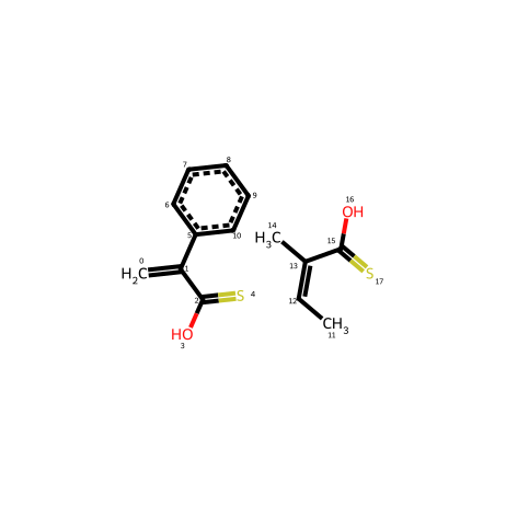 C=C(C(O)=S)c1ccccc1.CC=C(C)C(O)=S